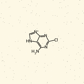 Nc1nc(Cl)nc2c1NC=[N+]2